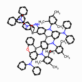 Cc1cc(C)c(N2c3cc4c(cc3B3c5ccccc5Oc5cc(N(c6ccccc6)c6ccccc6)cc2c53)B2c3cc5c(cc3N(c3c(C)cc(C)cc3C)c3cc(N(c6ccccc6)c6ccccc6)cc(c32)N4c2c(C)cc(C)cc2C)Nc2cc(N(c3ccccc3)c3ccccc3)cc3c2B5c2ccccc2N3c2ccccc2)c(C)c1